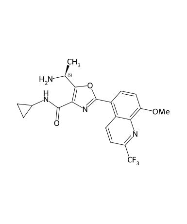 COc1ccc(-c2nc(C(=O)NC3CC3)c([C@H](C)N)o2)c2ccc(C(F)(F)F)nc12